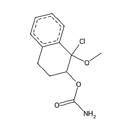 COC1(Cl)c2ccccc2CCC1OC(N)=O